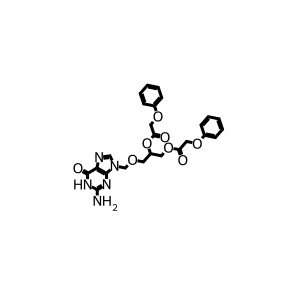 Nc1nc2c(ncn2COCC(COC(=O)COc2ccccc2)OC(=O)COc2ccccc2)c(=O)[nH]1